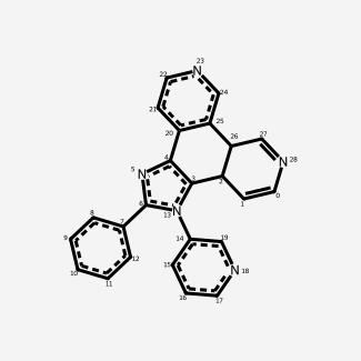 C1=CC2c3c(nc(-c4ccccc4)n3-c3cccnc3)-c3ccncc3C2C=N1